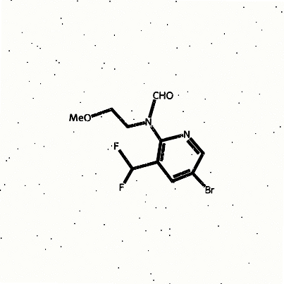 COCCN(C=O)c1ncc(Br)cc1C(F)F